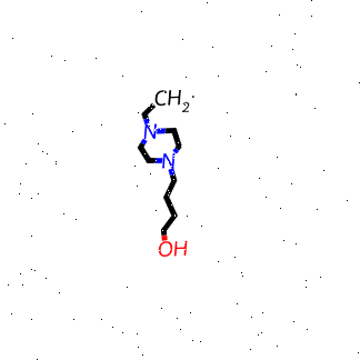 [CH2]CN1CCN(CCCCO)CC1